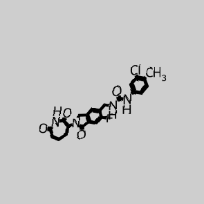 Cc1ccc(NC(=O)NCc2cc3c(cc2F)C(=O)N(C2CCCC(=O)NC2=O)C3)cc1Cl